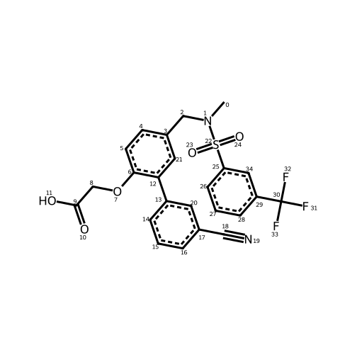 CN(Cc1ccc(OCC(=O)O)c(-c2cccc(C#N)c2)c1)S(=O)(=O)c1cccc(C(F)(F)F)c1